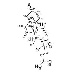 C=C1C(=C)[C@@H]2[C@H](C=C[C@@]3(C)[C@H]2CC[C@]3(O)CCC(=O)O)[C@@]2(C)C=CC(=O)C=C12